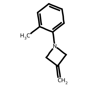 C=C1CN(c2ccccc2C)C1